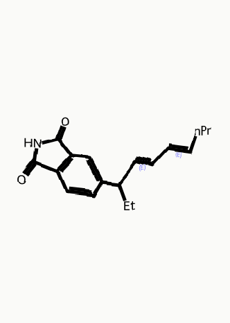 CCC/C=C/C=C/C(CC)c1ccc2c(c1)C(=O)NC2=O